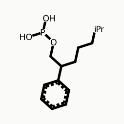 CC(C)CCCC(COP(O)O)c1ccccc1